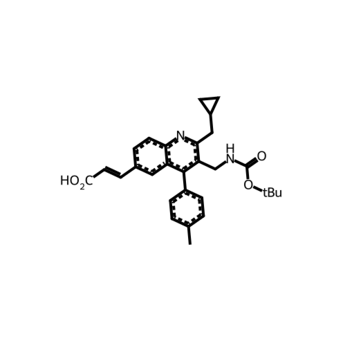 Cc1ccc(-c2c(CNC(=O)OC(C)(C)C)c(CC3CC3)nc3ccc(C=CC(=O)O)cc23)cc1